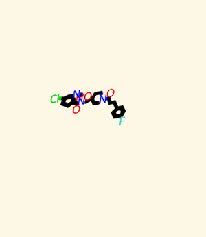 O=C(CCc1ccc(F)cc1)N1CCC(O)(Cn2cnc3cc(Cl)ccc3c2=O)CC1